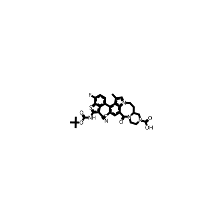 Cc1cn2c3c(cc(F)c(-c4ccc(F)c5sc(NC(=O)OC(C)(C)C)c(C#N)c45)c13)C(=O)N1CCN(C(=O)O)CC1CC2